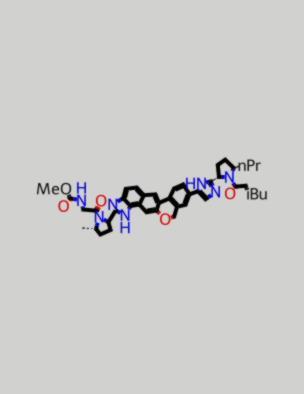 CCC[C@H]1CC[C@@H](c2ncc(-c3ccc4c(c3)COc3cc5c(ccc6nc(C7CC[C@H](C)N7C(=O)CNC(=O)OC)[nH]c65)cc3-4)[nH]2)N1C(=O)CC(C)CC